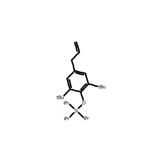 C=CCc1cc(C(C)(C)C)c(O[Si](C(C)C)(C(C)C)C(C)C)c(C(C)(C)C)c1